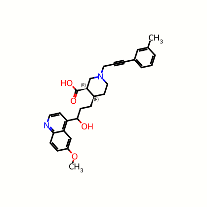 COc1ccc2nccc(C(O)CC[C@@H]3CCN(CC#Cc4cccc(C)c4)C[C@@H]3C(=O)O)c2c1